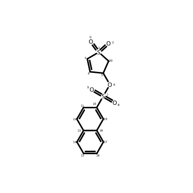 O=S1(=O)C=CC(OS(=O)(=O)c2ccc3ccccc3c2)C1